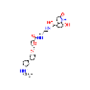 O=C(O)NCc1cccc(-c2cccc(OCc3ccc(C(=O)NCCCCNC[C@H](O)c4ccc(O)c5[nH]c(=O)ccc45)o3)c2)c1